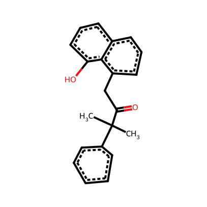 CC(C)(C(=O)Cc1cccc2cccc(O)c12)c1ccccc1